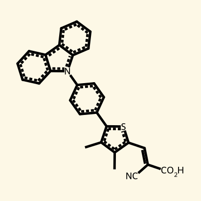 Cc1c(/C=C(\C#N)C(=O)O)sc(-c2ccc(-n3c4ccccc4c4ccccc43)cc2)c1C